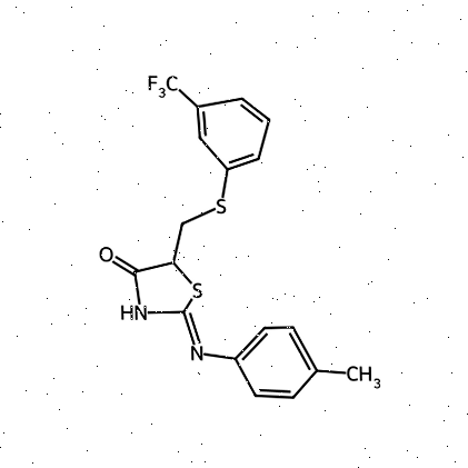 Cc1ccc(N=C2NC(=O)C(CSc3cccc(C(F)(F)F)c3)S2)cc1